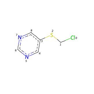 ClCSc1cncnc1